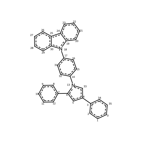 c1ccc(-c2cc(-c3ccccc3)n(-c3ccc(-n4c5ccccc5c5ccccc54)cc3)c2)cc1